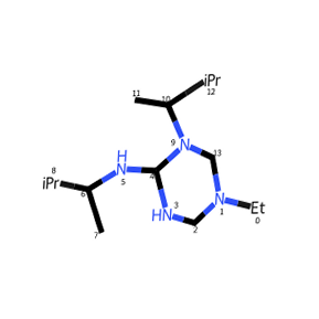 CCN1CNC(NC(C)C(C)C)N(C(C)C(C)C)C1